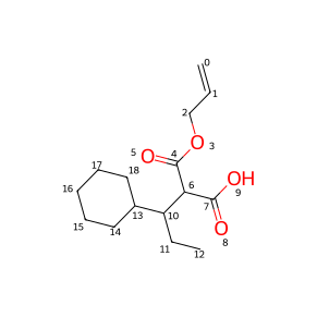 C=CCOC(=O)C(C(=O)O)C(CC)C1CCCCC1